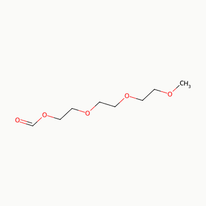 COCCOCCOCCOC=O